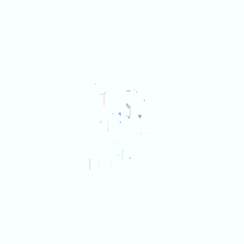 Cc1ccc(C(O)(c2ccc3nc(C(F)(F)F)c(Cc4ccccc4)c(O)c3c2)c2cncn2C)cn1